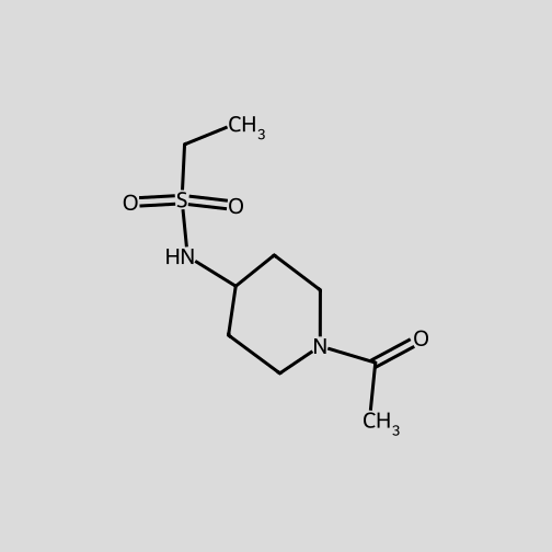 CCS(=O)(=O)NC1CCN(C(C)=O)CC1